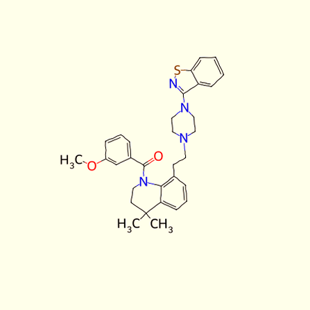 COc1cccc(C(=O)N2CCC(C)(C)c3cccc(CCN4CCN(c5nsc6ccccc56)CC4)c32)c1